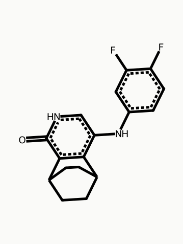 O=c1[nH]cc(Nc2ccc(F)c(F)c2)c2c1C1CCC2CC1